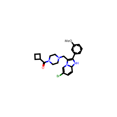 COc1cccc(C2=C(CN3CCN(C(=O)C4CCC4)CC3)N3C=C(Br)C=CC3N2)c1